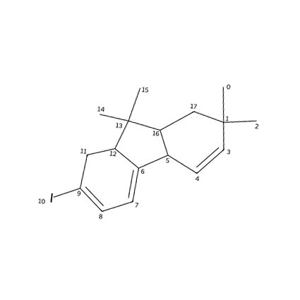 CC1(C)C=CC2C3=CC=C(I)CC3C(C)(C)C2C1